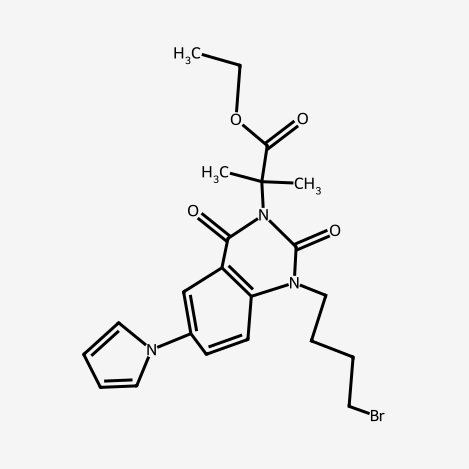 CCOC(=O)C(C)(C)n1c(=O)c2cc(-n3cccc3)ccc2n(CCCCBr)c1=O